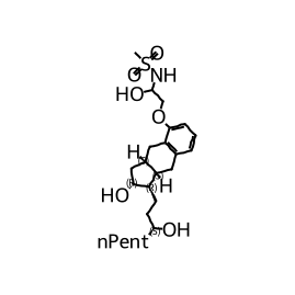 CCCCC[C@H](O)CC[C@@H]1[C@H]2Cc3cccc(OCC(O)NS(C)(=O)=O)c3C[C@H]2C[C@H]1O